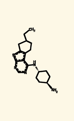 CCC1CCc2c(sc3ncnc(N[C@H]4CC[C@H](N)CC4)c23)C1